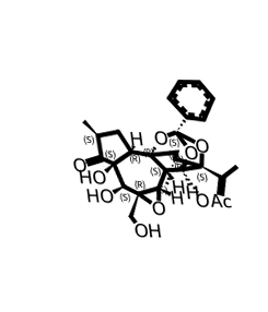 C=C(C)[C@@]12O[C@@]3(c4ccccc4)O[C@@H]1[C@@H]1[C@@H]4O[C@]4(CO)[C@@H](O)[C@]4(O)C(=O)[C@@H](C)C[C@H]4[C@@]1(O3)[C@H](C)[C@H]2OC(C)=O